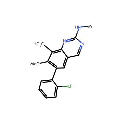 COc1c(-c2ccccc2Cl)cc2cnc(NC(C)C)nc2c1C(=O)O